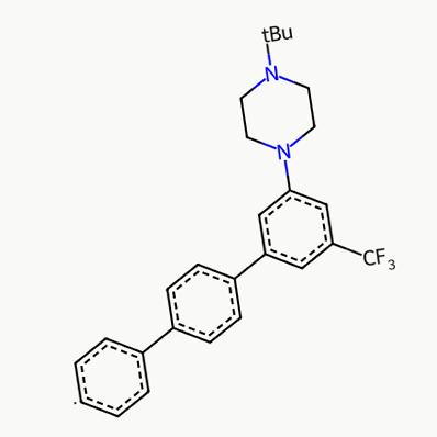 CC(C)(C)N1CCN(c2cc(-c3ccc(-c4cc[c]cc4)cc3)cc(C(F)(F)F)c2)CC1